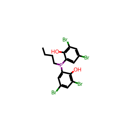 CCCCP(c1cc(Br)cc(Br)c1O)c1cc(Br)cc(Br)c1O